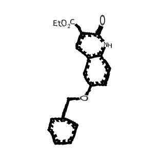 CCOC(=O)c1cc2cc(OCc3ccccc3)ccc2[nH]c1=O